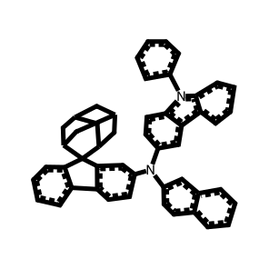 c1ccc(-n2c3ccccc3c3cc(N(c4ccc5c(c4)C4(c6ccccc6-5)C5CC6CC(C5)CC4C6)c4ccc5ccccc5c4)ccc32)cc1